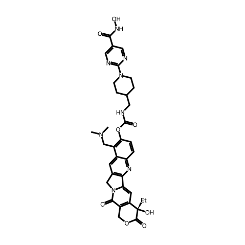 CC[C@@]1(O)C(=O)OCc2c1cc1n(c2=O)Cc2cc3c(CN(C)C)c(OC(=O)NCC4CCN(c5ncc(C(=O)NO)cn5)CC4)ccc3nc2-1